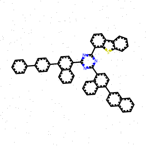 c1ccc(-c2ccc(-c3ccc(-c4nc(-c5ccc(-c6ccc7ccccc7c6)c6ccccc56)nc(-c5cccc6c5sc5ccccc56)n4)c4ccccc34)cc2)cc1